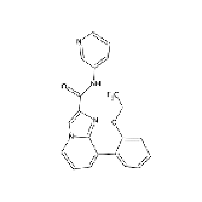 O=C(Nc1cccnc1)c1cn2cccc(-c3ccccc3OCC(F)(F)F)c2n1